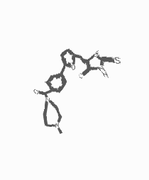 CN1CCN(C(=O)c2ccc(-c3ccc(C=C4SC(=S)NC4=O)o3)cc2)CC1